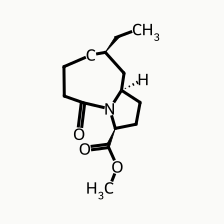 CC[C@@H]1CCCC(=O)N2[C@H](CC[C@H]2C(=O)OC)C1